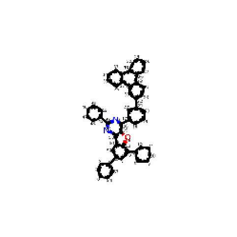 c1ccc(-c2cc(-c3ccccc3)c3oc4c(-c5cccc(-c6ccc7c8ccccc8c8ccccc8c7c6)c5)nc(-c5ccccc5)nc4c3c2)cc1